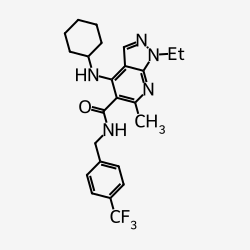 CCn1ncc2c(NC3CCCCC3)c(C(=O)NCc3ccc(C(F)(F)F)cc3)c(C)nc21